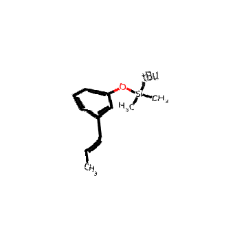 CC=Cc1cccc(O[Si](C)(C)C(C)(C)C)c1